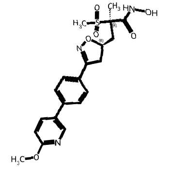 COc1ccc(-c2ccc(C3=NO[C@@H](C[C@](C)(C(=O)NO)S(C)(=O)=O)C3)cc2)cn1